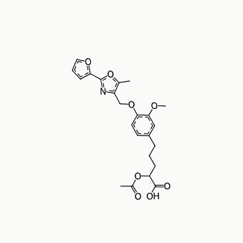 COc1cc(CCCC(OC(C)=O)C(=O)O)ccc1OCc1nc(-c2ccco2)oc1C